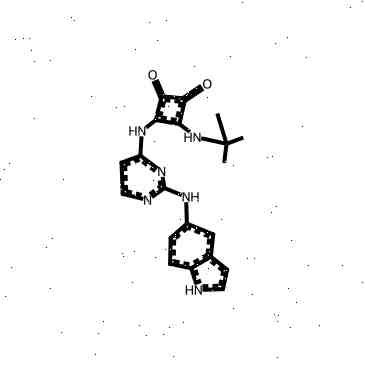 CC(C)(C)Nc1c(Nc2ccnc(Nc3ccc4[nH]ccc4c3)n2)c(=O)c1=O